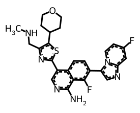 CNCc1nc(-c2cnc(N)c3c(F)c(-c4cnc5cc(F)ccn45)ccc23)sc1C1CCOCC1